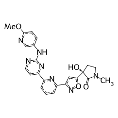 COc1ccc(Nc2nccc(-c3cccc(-c4cc([C@]5(O)CCN(C)C5=O)on4)n3)n2)cn1